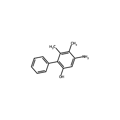 Cc1c(N)cc(O)c(-c2ccccc2)c1C